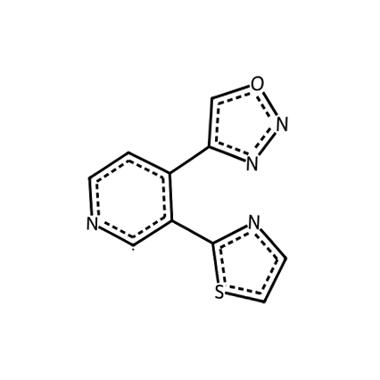 [c]1nccc(-c2conn2)c1-c1nccs1